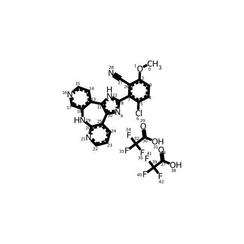 COc1ccc(Cl)c(-c2nc3c([nH]2)-c2ccncc2Nc2ncccc2-3)c1C#N.O=C(O)C(F)(F)F.O=C(O)C(F)(F)F